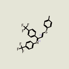 Cc1ccc(S/C=C/C(=N/c2ccc(C(F)(F)F)cc2)c2ccc(C(F)(F)F)cc2)cc1